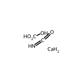 N=C=O.O=C(O)O.[CaH2]